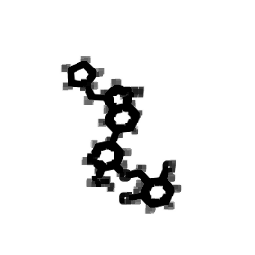 Nc1ncc(-c2ccc3[nH]cc(CN4CCCC4)c3c2)cc1OCc1c(Cl)cccc1Cl